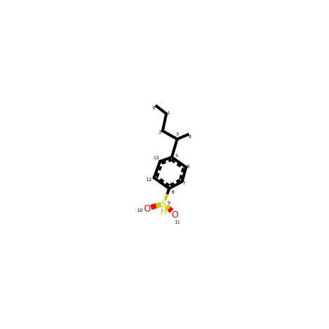 CCCC(C)c1ccc([SH](=O)=O)cc1